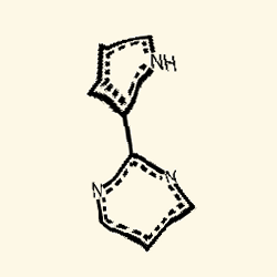 c1cnc(-c2ccc[nH]2)nc1